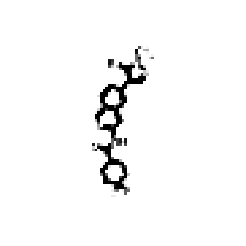 CCc1c(-c2ccc3cnc(NC(=O)C4CCC(F)(F)CC4)cc3c2)cnn1C